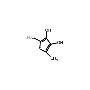 Cc1sc(C)c(O)c1O